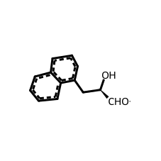 O=[C][C@H](O)Cc1cccc2ccccc12